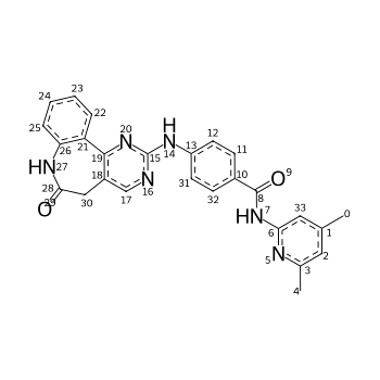 Cc1cc(C)nc(NC(=O)c2ccc(Nc3ncc4c(n3)-c3ccccc3NC(=O)C4)cc2)c1